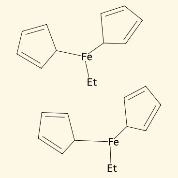 C[CH2][Fe]([CH]1C=CC=C1)[CH]1C=CC=C1.C[CH2][Fe]([CH]1C=CC=C1)[CH]1C=CC=C1